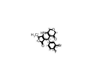 C[C@@H]1OC(=O)C2=C1NC1=C(C(=O)COC1)[C@H]2c1ccc(F)c(Br)c1